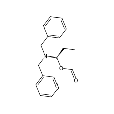 CC[C@@H](OC=O)N(Cc1ccccc1)Cc1ccccc1